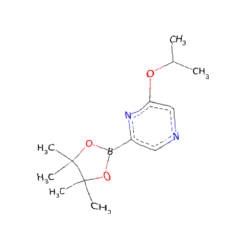 CC(C)Oc1cncc(B2OC(C)(C)C(C)(C)O2)n1